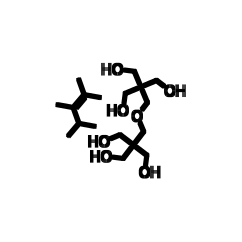 CC(C)=C(C)C(C)C.OCC(CO)(CO)COCC(CO)(CO)CO